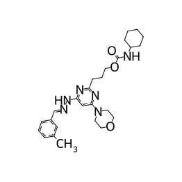 Cc1cccc(C=NNc2cc(N3CCOCC3)nc(CCCOC(=O)NC3CCCCC3)n2)c1